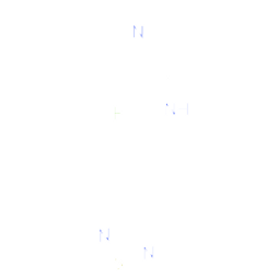 CC(NCc1ccc2nsnc2c1)c1ncccc1F